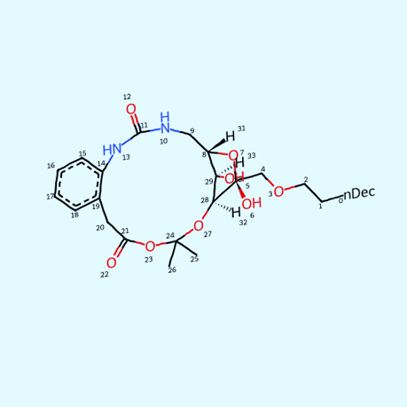 CCCCCCCCCCCCOC[C@@]1(O)O[C@H]2CNC(=O)Nc3ccccc3CC(=O)OC(C)(C)O[C@H]1[C@@H]2O